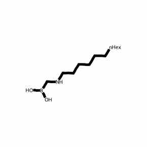 CCCCCCCCCCCCNCB(O)O